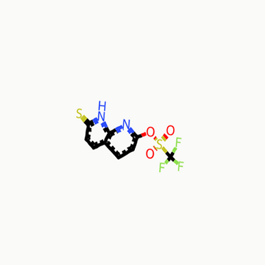 O=S(=O)(Oc1ccc2ccc(=S)[nH]c2n1)C(F)(F)F